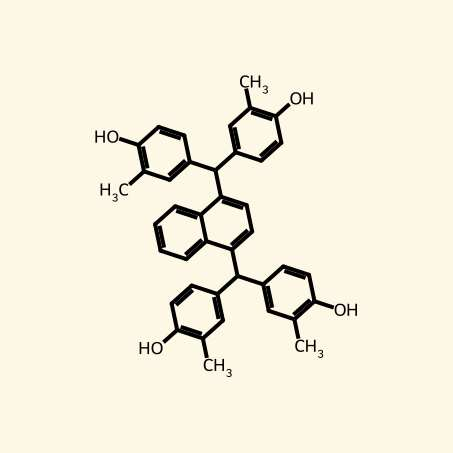 Cc1cc(C(c2ccc(O)c(C)c2)c2ccc(C(c3ccc(O)c(C)c3)c3ccc(O)c(C)c3)c3ccccc23)ccc1O